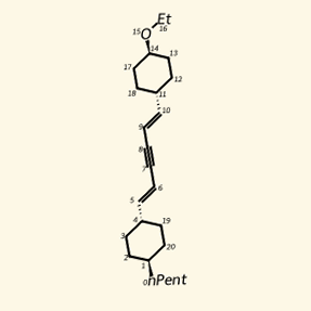 CCCCC[C@H]1CC[C@H](/C=C/C#C/C=C/[C@H]2CC[C@H](OCC)CC2)CC1